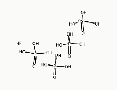 F.O=P(O)(O)O.O=P(O)(O)O.O=P(O)(O)O.O=[As](O)(O)O